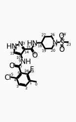 Cc1ccc(Cl)c(C(=O)Nc2c[nH]nc2C(=O)NC2CCN(S(C)(=O)=O)CC2)c1F